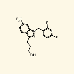 OCCCc1nn(Cc2ccc(F)cc2F)c2cc(C(F)(F)F)ccc12